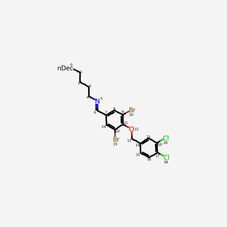 CCCCCCCCCCCCCC/N=C/c1cc(Br)c(OCc2ccc(Cl)c(Cl)c2)c(Br)c1